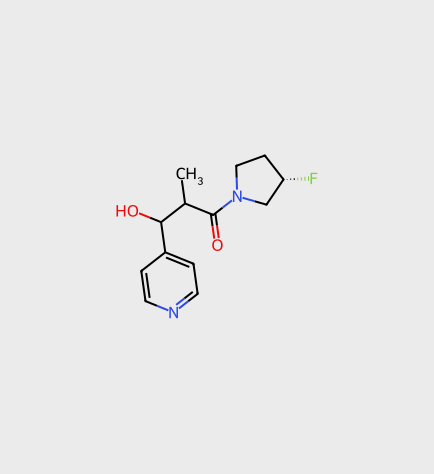 CC(C(=O)N1CC[C@H](F)C1)C(O)c1ccncc1